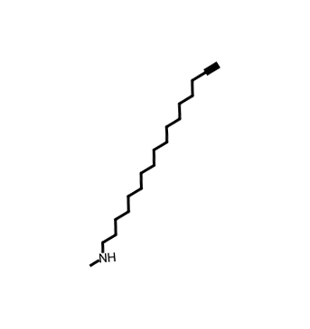 C#CCCCCCCCCCCCCCCCNC